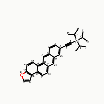 CC(C)[Si](C#Cc1ccc2cc3c(ccc4c5ccoc5ccc34)cc2c1)(C(C)C)C(C)C